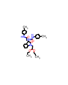 CCCOC(CN1C(=O)[C@@](CC(=O)Nc2ccc(C)cc2)(NC(=O)Nc2ccc(C)cc2)c2ccccc21)OCCC